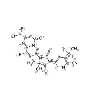 CCC(CC)c1cc(=O)n2cc(N3C(=S)N(c4cnc(C#N)c(C(C)(F)F)c4)C(=O)C3(C)C)cc(F)c2n1